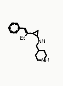 CC/C(=C\c1ccccc1)C1CC1NCC1CCNCC1